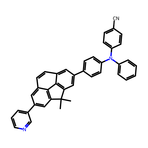 CC1(C)c2cc(-c3ccc(N(c4ccccc4)c4ccc(C#N)cc4)cc3)cc3ccc4cc(-c5cccnc5)cc1c4c23